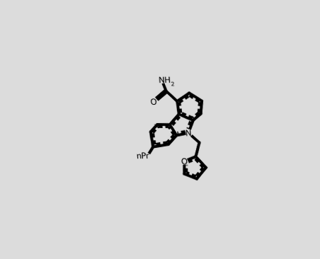 CCCc1c[c]c2c3c(C(N)=O)cccc3n(Cc3ccco3)c2c1